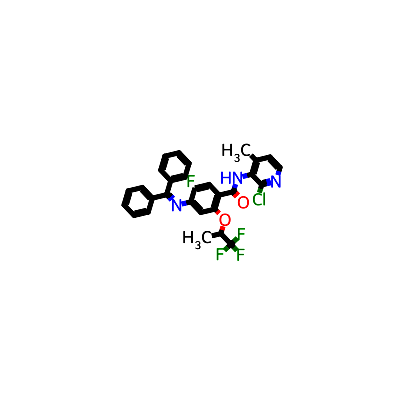 Cc1ccnc(Cl)c1NC(=O)c1cc(F)c(N=C(c2ccccc2)c2ccccc2)cc1OC(C)C(F)(F)F